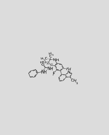 Cc1c[nH]c2c(-c3c(F)cc4c(c3F)[C@H](NC(=O)Nc3ccccc3)[C@@H](O)C(C)(C)N4)cccc12